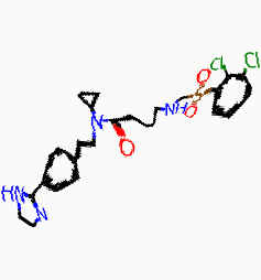 O=C(CCCNCS(=O)(=O)c1cccc(Cl)c1Cl)N(CCc1ccc(C2=NCCN2)cc1)C1CC1